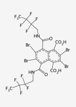 O=C(O)c1c(Br)c(Br)c(C(=O)O)c2c(C(=O)NCC(F)(F)C(F)(F)C(F)(F)F)c(Br)c(Br)c(C(=O)NCC(F)(F)C(F)(F)C(F)(F)F)c12